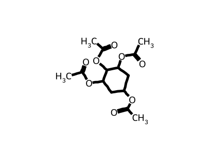 CC(=O)OC1CC(OC(C)=O)C(OC(C)=O)C(OC(C)=O)C1